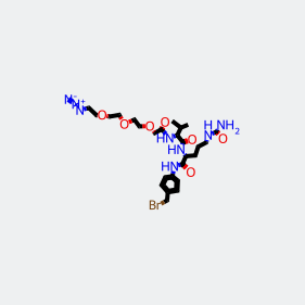 CC(C)C(NC(=O)COCCOCCOCCN=[N+]=[N-])C(=O)NC(CCCNC(N)=O)C(=O)Nc1ccc(CBr)cc1